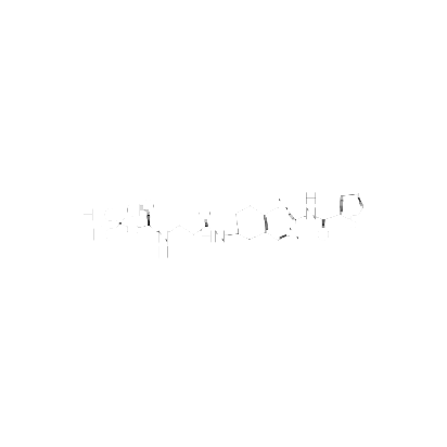 CC(C)(C)OC(=O)NCCC(=O)NC1CCc2nc(NC(=O)c3cccs3)ncc2C1